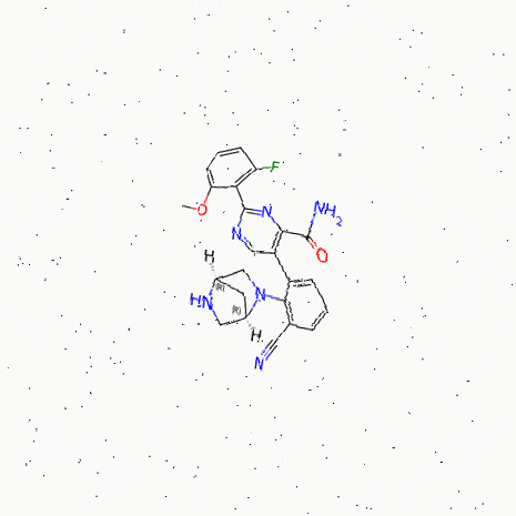 COc1cccc(F)c1-c1ncc(-c2cccc(C#N)c2N2C[C@H]3C[C@@H]2CN3)c(C(N)=O)n1